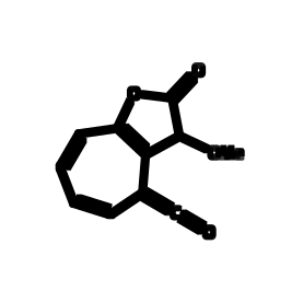 COC1C(=O)OC2=C1C(=C=O)C=CC=C2